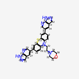 c1cc2c(cc1-c1cnc3[nH]ncc3c1)Sc1cc(-c3cnc4[nH]ncc4c3)ccc1N2CCN1CCOCC1